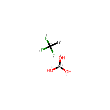 OB(O)O.[Li][C](F)(F)F